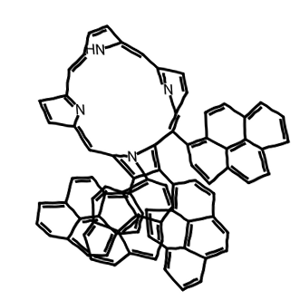 C1=Cc2cc3c(-c4ccc5ccc6cccc7ccc4c5c67)c(-c4ccc5ccc6cccc7ccc4c5c67)c(c(-c4ccc5ccc6cccc7ccc4c5c67)c4nc(cc5ccc(cc1n2)[nH]5)C=C4)n3-c1ccc2ccc3cccc4ccc1c2c34